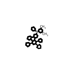 Cc1cc(C)cc(N(c2ccccc2)c2ccc3c(c2)c2ccccc2c2c(-c4ccccc4)cc(C4=CCCC=C4)c(-c4ccccc4)c32)c1